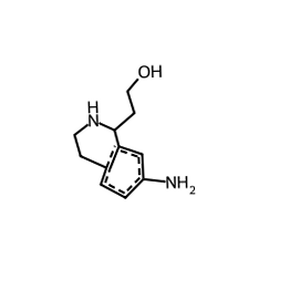 Nc1ccc2c(c1)C(CCO)NCC2